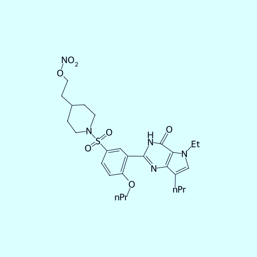 CCCOc1ccc(S(=O)(=O)N2CCC(CCO[N+](=O)[O-])CC2)cc1-c1nc2c(CCC)cn(CC)c2c(=O)[nH]1